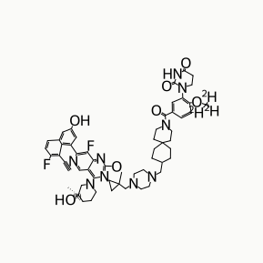 [2H]C([2H])([2H])Oc1ccc(C(=O)N2CCC3(CCC(CN4CCN(CC5(COc6nc(N7CCC[C@@](C)(O)C7)c7cnc(-c8cc(O)cc9ccc(F)c(C#C)c89)c(F)c7n6)CC5)CC4)CC3)CC2)cc1N1CCC(=O)NC1=O